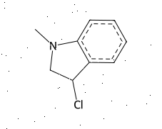 CN1CC(Cl)c2ccccc21